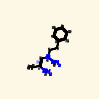 CC(C)/C(N)=C/N(N)CCc1ccccc1